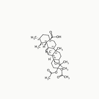 CC(=O)OC1(OC(C)=O)CC[C@@]2(C)C(CC[C@]3(C)[C@@H]2CC=C2[C@@H]4[C@@H](C)[C@H](C)CC[C@]4(C(=O)O)CC[C@]23C)C1(C)C